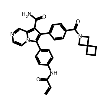 C=CC(=O)Nc1ccc(-c2c(-c3ccc(C(=O)N4CC5(CCC5)C4)cc3)c(C(N)=O)c3cnccn23)cc1